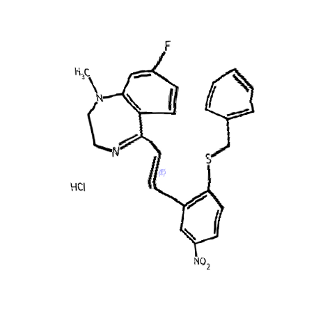 CN1CCN=C(/C=C/c2cc([N+](=O)[O-])ccc2SCc2ccccc2)c2ccc(F)cc21.Cl